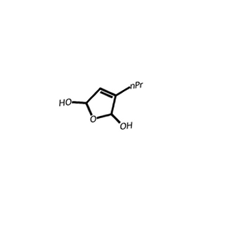 CCCC1=CC(O)OC1O